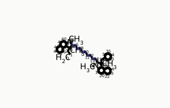 C=CCC1(C)\C(=C/C=C/C=C/C=C/C=C/C2=[N+](C)c3ccc4ccccc4c3C2(C)Cc2ccccc2)N(C)c2ccc3ccccc3c21